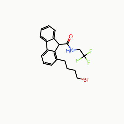 O=C(NCC(F)(F)F)C1c2ccccc2-c2cccc(CCCCBr)c21